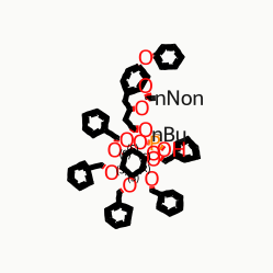 CCCCCCCCCC(=O)OC(CC(=O)O[C@@]1(OP(=O)(O)CCCC)[C@@H](OCc2ccccc2)[C@H](OCc2ccccc2)[C@@H](OCc2ccccc2)[C@H](OCc2ccccc2)[C@@H]1OCc1ccccc1)Cc1ccc(Oc2ccccc2)cc1